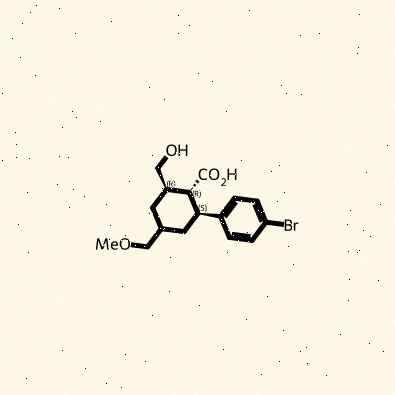 COCC1C[C@@H](CO)[C@H](C(=O)O)[C@@H](c2ccc(Br)cc2)C1